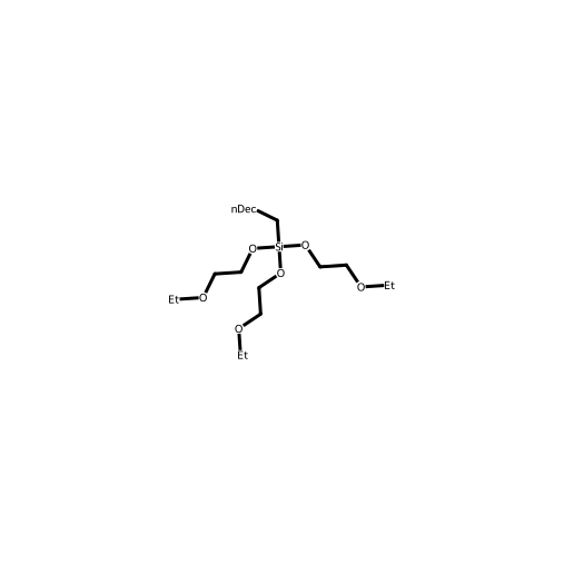 CCCCCCCCCCC[Si](OCCOCC)(OCCOCC)OCCOCC